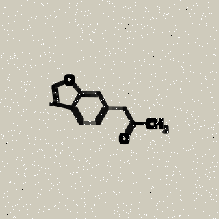 CC(=O)Cc1ccc2[c]coc2c1